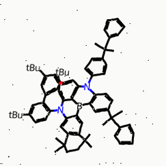 CC(C)(C)c1cccc(-c2cc(C(C)(C)C)ccc2N2c3cc4c(cc3B3c5cc(C(C)(C)c6ccccc6)ccc5N(c5ccc(C(C)(C)c6ccccc6)cc5)c5cc(C(C)(C)C)cc2c53)C(C)(C)CCC4(C)C)c1